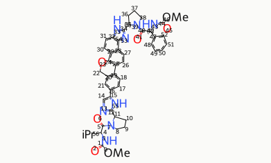 COC(=O)NC(C(=O)N1CCCC1c1ncc(-c2ccc3c(c2)COc2c-3ccc3c2ccc2[nH]c([C@@H]4CCCN4C(=O)[C@H](NC(=O)OC)c4ccccc4)nc23)[nH]1)C(C)C